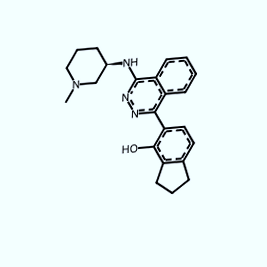 CN1CCC[C@@H](Nc2nnc(-c3ccc4c(c3O)CCC4)c3ccccc23)C1